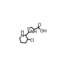 O=C(O)C1CSC(C2NCCCC2Cl)N1